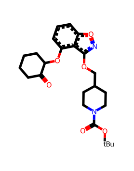 CC(C)(C)OC(=O)N1CCC(COc2noc3cccc(OC4CCCCC4=O)c23)CC1